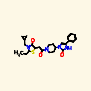 CCC1SC(CC(=O)N2CCC(n3cc(-c4ccccc4)[nH]c3=O)CC2)C(=O)N1CC1CC1